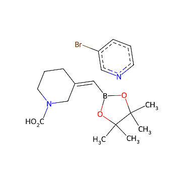 Brc1cccnc1.CC1(C)OB(C=C2CCCN(C(=O)O)C2)OC1(C)C